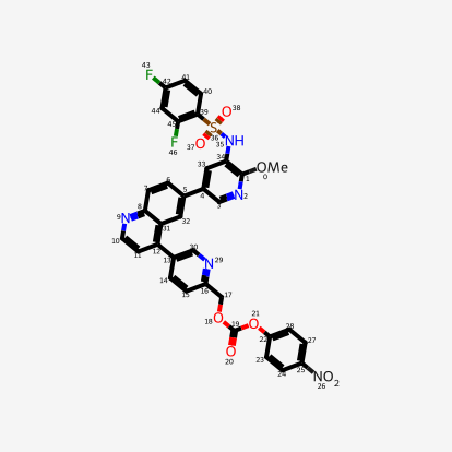 COc1ncc(-c2ccc3nccc(-c4ccc(COC(=O)Oc5ccc([N+](=O)[O-])cc5)nc4)c3c2)cc1NS(=O)(=O)c1ccc(F)cc1F